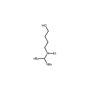 CCCCC(CCCC)N(CC)CCCCO